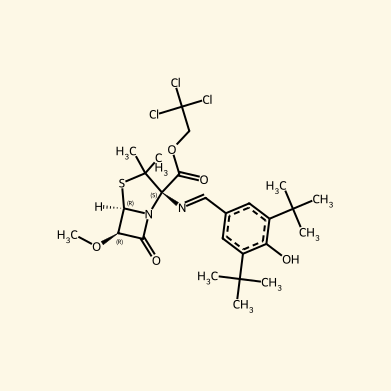 CO[C@@H]1C(=O)N2[C@@H]1SC(C)(C)[C@]2(N=Cc1cc(C(C)(C)C)c(O)c(C(C)(C)C)c1)C(=O)OCC(Cl)(Cl)Cl